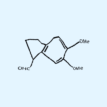 COc1cc2c(cc1OC)C(C=O)CC2